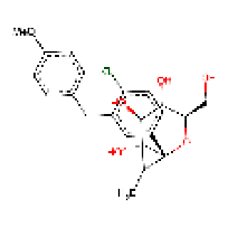 COc1ccc(Cc2cc([C@]34O[C@H](CO)[C@@H](O)[C@H](O)[C@]3(O)C4C)ccc2Cl)cc1